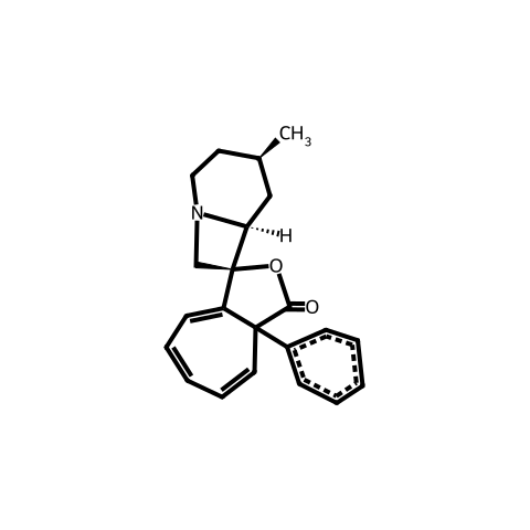 C[C@@H]1CCN2C[C@]3(OC(=O)C4(c5ccccc5)C=CC=CC=C43)[C@@H]2C1